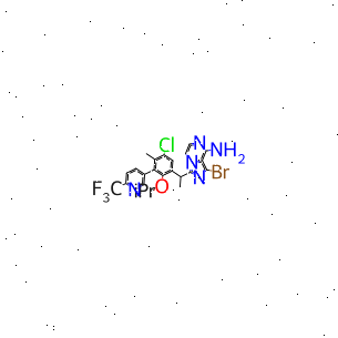 Cc1c(Cl)cc(C(C)c2nc(Br)c3c(N)nccn23)c(OC(C)C)c1-c1ccc(C(F)(F)F)nc1